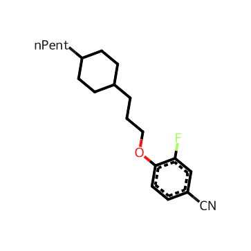 CCCCCC1CCC(CCCOc2ccc(C#N)cc2F)CC1